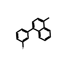 Cc1ccc(-c2cccc(F)c2)c2ccccc12